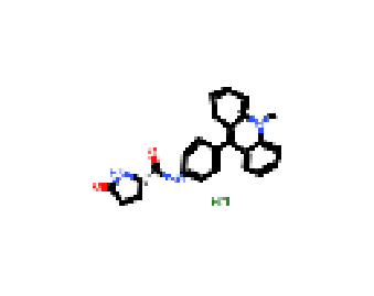 CN1C2=CC=CCC2=C(c2ccc(NC(=O)[C@@H]3CCC(=O)N3)cc2)c2ccccc21.Cl